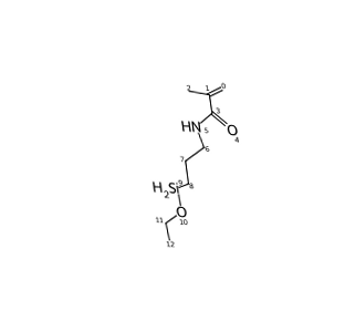 C=C(C)C(=O)NCCC[SiH2]OCC